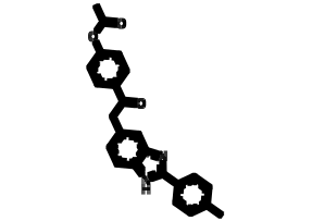 CC(=O)Oc1ccc(C(=O)Cc2ccc3[nH]c(-c4ccc(C)cc4)nc3c2)cc1